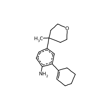 CC1(c2ccc(N)c(C3=CCCCC3)c2)CCOCC1